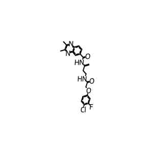 C=C(CCNC(=O)COc1ccc(Cl)c(F)c1)NC(=O)c1ccc2nc(C)c(C)nc2c1